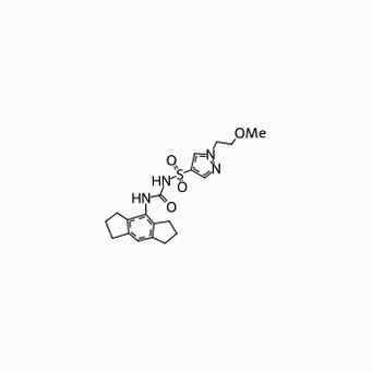 COCCn1cc(S(=O)(=O)NC(=O)Nc2c3c(cc4c2CCC4)CCC3)cn1